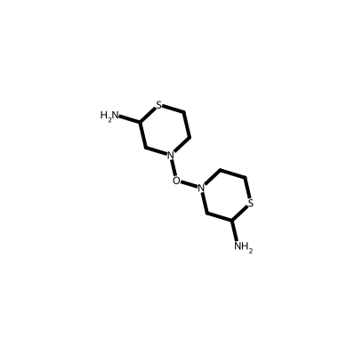 NC1CN(ON2CCSC(N)C2)CCS1